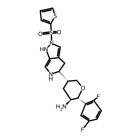 N[C@H]1C[C@H](C2CC3=CN(S(=O)(=O)c4cccs4)NC3=CN2)CO[C@@H]1c1cc(F)ccc1F